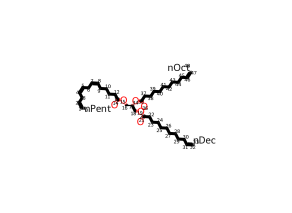 CCCCC/C=C\C/C=C\C/C=C\CCCCC(=O)OC[C@H](COC(=O)CCCCCCCCC/C=C\CCCCCCCCCC)OC(=O)CCCCCCCCC/C=C\CCCCCCCC